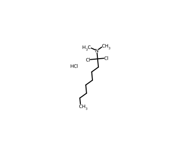 CCCCCCCC(Cl)(Cl)N(C)C.Cl